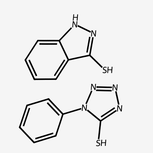 Sc1n[nH]c2ccccc12.Sc1nnnn1-c1ccccc1